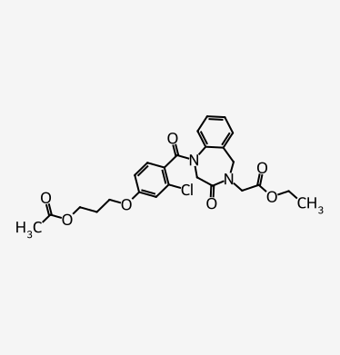 CCOC(=O)CN1Cc2ccccc2N(C(=O)c2ccc(OCCCOC(C)=O)cc2Cl)CC1=O